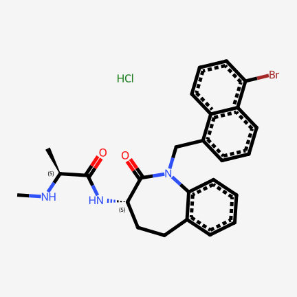 CN[C@@H](C)C(=O)N[C@H]1CCc2ccccc2N(Cc2cccc3c(Br)cccc23)C1=O.Cl